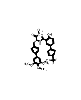 COC(=O)[C@H](Cc1ccc(-c2cc(OC)c(OC)c(OC)c2)cc1)NC(=O)c1cc(-c2ccc(C(F)(F)F)cc2)ccc1O